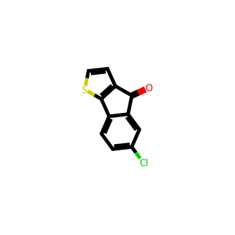 O=C1c2cc(Cl)ccc2-c2sccc21